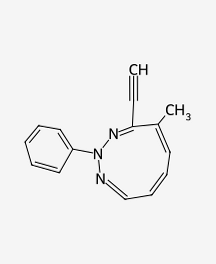 C#Cc1nn(-c2ccccc2)nccccc1C